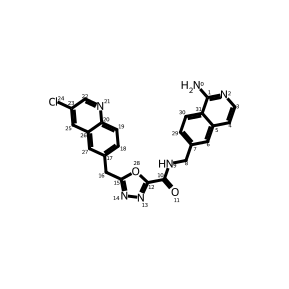 Nc1nccc2cc(CNC(=O)c3nnc(Cc4ccc5ncc(Cl)cc5c4)o3)ccc12